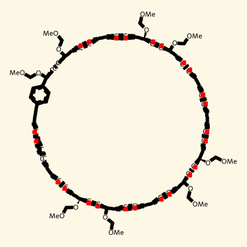 COCOC12CCC(OCOC)(CC1)c1ccc(cc1)-c1ccc3cc(ccc3c1)-c1ccc(cc1)[C@]1(OCOC)CCC(OCOC)(CC1)c1ccc(cc1)-c1ccc(cc1)C1(OCOC)CC[C@](OCOC)(CC1)c1ccc(cc1)-c1ccc(cc1)-c1ccc(cc1)C1(OCOC)CC[C@](OCOC)(CC1)c1ccc(cc1)-c1ccc2cc1